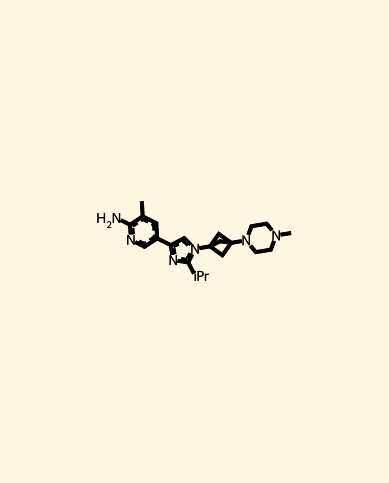 Cc1cc(-c2cn(C34CC(N5CCN(C)CC5)(C3)C4)c(C(C)C)n2)cnc1N